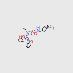 C=CCC1CC(OC(=O)NCc2ccc([N+](=O)[O-])cc2)CCN1CC1CN(C(=O)c2ccccc2)CC1(O)c1ccccc1